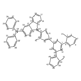 Cc1ccccc1-c1cc(-c2ccc(-n3c4ccccc4c4cc(N(c5ccccc5)c5ccccc5)ccc43)c(C)c2)nc(-c2ccccc2C)n1